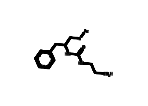 CC(=O)SCC(Cc1ccccc1)NC(=O)NCCC(=O)O